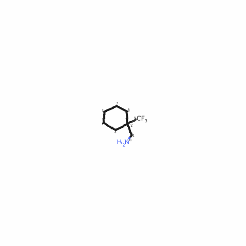 NCC1(C(F)(F)F)CCCCC1